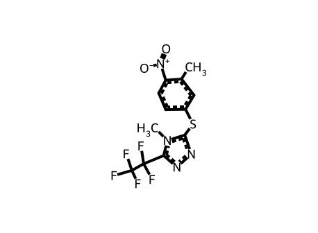 Cc1cc(Sc2nnc(C(F)(F)C(F)(F)F)n2C)ccc1[N+](=O)[O-]